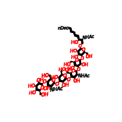 CCCCCCCCCCCCC/C=C/[C@@H](O)[C@H](CO[C@@H]1O[C@H](CO)[C@@H](O[C@@H]2O[C@H](CO)[C@H](O)[C@H](O[C@@H]3O[C@H](CO)[C@@H](O[C@@H]4O[C@H](CO)[C@H](O)[C@H](O[C@@H]5O[C@H](CO)[C@@H](O[C@@H]6O[C@H](CO)[C@H](O)[C@H](O)[C@H]6O)[C@H](O)[C@H]5NC(C)=O)[C@H]4O)[C@H](O)[C@H]3NC(C)=O)[C@H]2O)[C@H](O)[C@H]1O)NC(C)=O